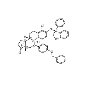 CC(C)C[Si](Oc1ccc2c(c1Cl)CC[C@@H]1[C@@H]2[C@@H](c2ccc(OCc3ccccc3)cc2)C[C@]2(C)C(=O)CC[C@@H]12)(c1ccccc1)c1ccccc1